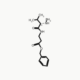 BN[C@H](C(=O)NCCC(=O)OCc1ccccc1)C(C)C